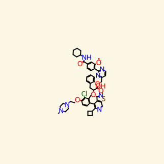 COc1cc(C(=O)NC2CCCCC2)ccc1-c1nccc(COc2ccccc2CC(Oc2nsc3cnc(C4CCC4)c(-c4ccc(OCCN5CCN(C)CC5)c(Cl)c4C)c23)C(=O)O)n1